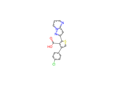 O=C(O)c1c(-c2ccc(Cl)cc2)csc1-c1cc2ncccn2n1